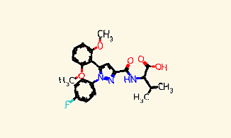 COc1cccc(OC)c1-c1cc(C(=O)NC(C(=O)O)C(C)C)nn1-c1ccc(F)cc1